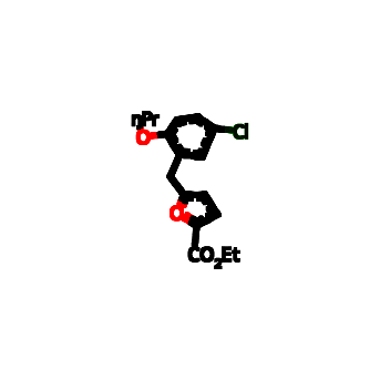 CCCOc1ccc(Cl)cc1Cc1ccc(C(=O)OCC)o1